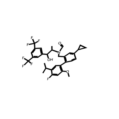 COc1cc(F)c(C(C)C)cc1-c1ccc(C2CC2)cc1CN(C=O)C(C)C(O)c1cc(C(F)(F)F)cc(C(F)(F)F)c1